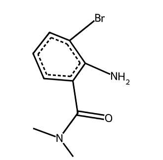 CN(C)C(=O)c1cccc(Br)c1N